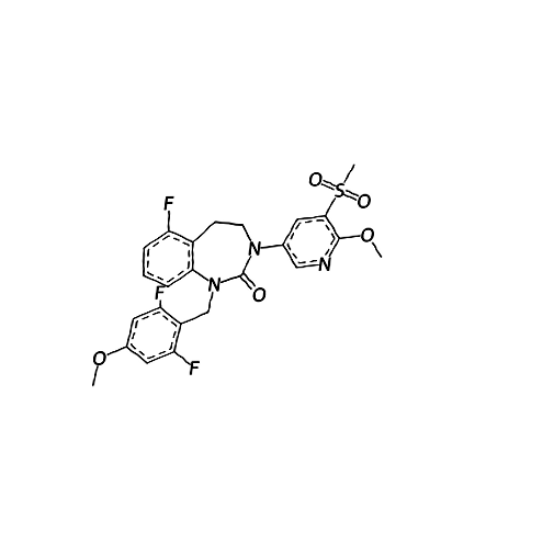 COc1cc(F)c(CN2C(=O)N(c3cnc(OC)c(S(C)(=O)=O)c3)CCc3c(F)cccc32)c(F)c1